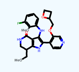 COCC1CNC(=O)c2c1[nH]c(-c1ccncc1OCC1CCO1)c2Nc1cccc(F)c1OC